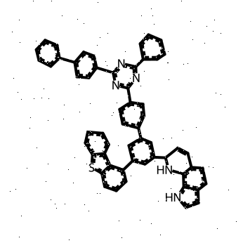 C1=CC(c2cc(-c3ccc(-c4nc(-c5ccccc5)nc(-c5ccc(-c6ccccc6)cc5)n4)cc3)cc(-c3cccc4sc5ccccc5c34)c2)Nc2c1ccc1cc[nH]c21